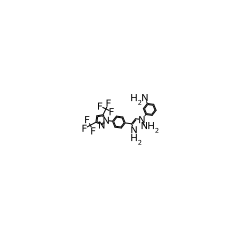 N/C(=C\N(N)c1cccc(N)c1)c1ccc(-n2nc(C(F)(F)F)cc2C(F)(F)F)cc1